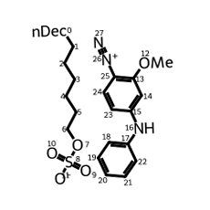 CCCCCCCCCCCCCCCCOS(=O)(=O)[O-].COc1cc(Nc2ccccc2)ccc1[N+]#N